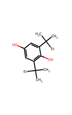 CCC(C)(C)c1cc(O)cc(C(C)(C)CC)c1O